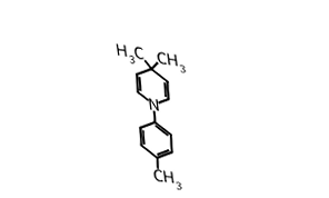 Cc1ccc(N2C=CC(C)(C)C=C2)cc1